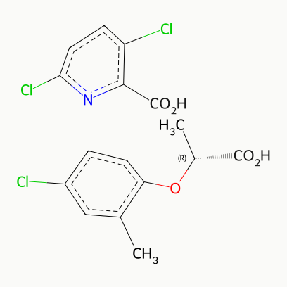 Cc1cc(Cl)ccc1O[C@H](C)C(=O)O.O=C(O)c1nc(Cl)ccc1Cl